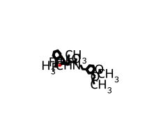 CCOc1cc(CCNC(=O)c2cc(C)n(-c3ccccc3C(F)(F)F)c2C)ccc1OC